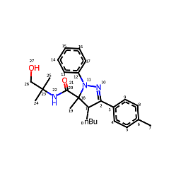 CCCCC1C(c2ccc(C)cc2)=NN(c2ccccc2)C1(C)C(=O)NC(C)(C)CO